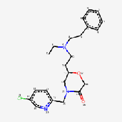 CCN(CCc1ccccc1)CCC1CN(Cc2ccc(Cl)cn2)C(=O)CO1